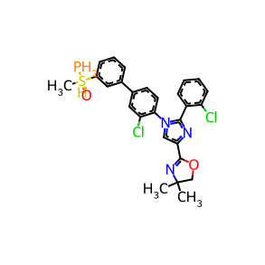 CC1(C)COC(c2cn(-c3ccc(-c4cccc([SH](C)(=O)P)c4)cc3Cl)c(-c3ccccc3Cl)n2)=N1